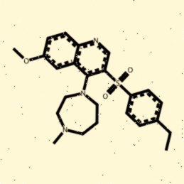 CCc1ccc(S(=O)(=O)c2cnc3ccc(OC)cc3c2N2CCCN(C)CC2)cc1